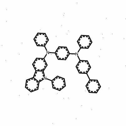 c1ccc(-c2ccc(N(c3ccccc3)c3ccc(N(c4ccccc4)c4ccc5c6ccccc6n(-c6ccccc6)c5c4)cc3)cc2)cc1